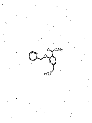 COC(=O)c1ccc(CO)cc1OCc1ccccc1